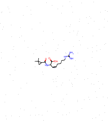 CC1(C)CC1C(=O)NC(/C=C\CCCCNC(=N)N)C(=O)O